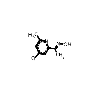 CC(=NO)c1cc(Cl)cc(C)n1